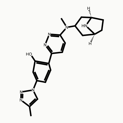 Cc1cn(-c2ccc(-c3ccc(N(C)C4C[C@H]5CC[C@@H](C4)N5)nn3)c(O)c2)nn1